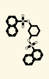 O=S(=O)(OC1CCCC(OS(=O)(=O)c2cccc3ccccc23)C1)c1cccc2ccccc12